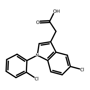 O=C(O)Cc1cn(-c2ccccc2Cl)c2ccc(Cl)cc12